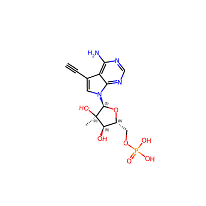 C#Cc1cn([C@H]2O[C@H](COP(=O)(O)O)[C@@H](O)[C@@]2(C)O)c2ncnc(N)c12